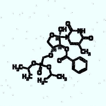 Cc1cn([C@]2(O)OC[C@@H](OCP(=O)(OC(C)C)OC(C)C)[C@@H]2OC(=O)c2ccccc2)c(=O)[nH]c1=O